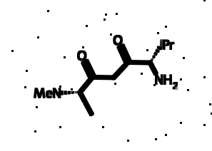 CN[C@@H](C)C(=O)CC(=O)[C@@H](N)C(C)C